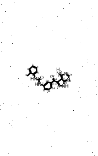 Cc1ccccc1NC(=O)Nc1cccc(C(=O)c2c[nH]c3ncnc(N)c23)c1